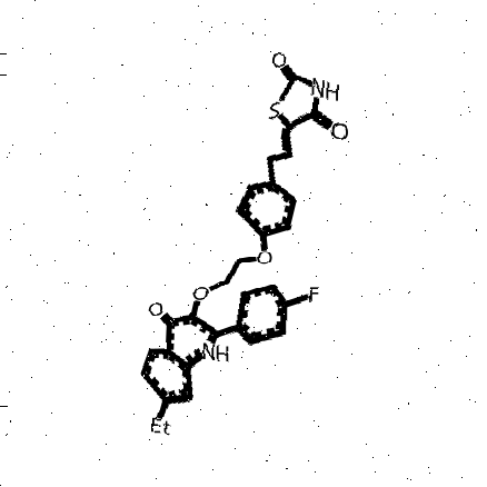 CCc1ccc2c(=O)c(OCCOc3ccc(CC=C4SC(=O)NC4=O)cc3)c(-c3ccc(F)cc3)[nH]c2c1